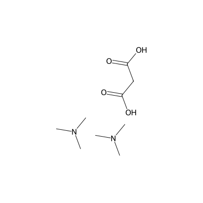 CN(C)C.CN(C)C.O=C(O)CC(=O)O